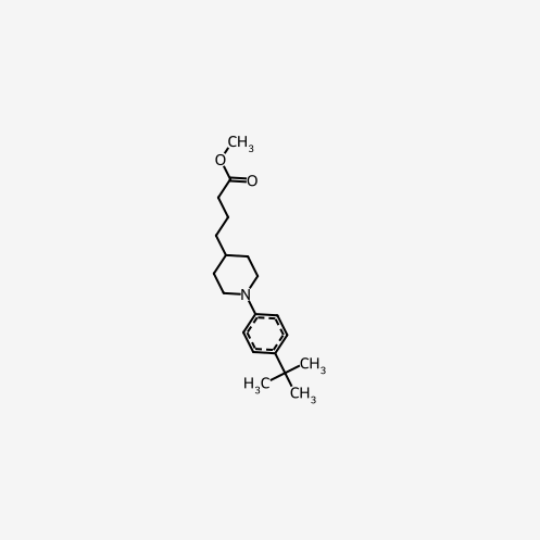 COC(=O)CCCC1CCN(c2ccc(C(C)(C)C)cc2)CC1